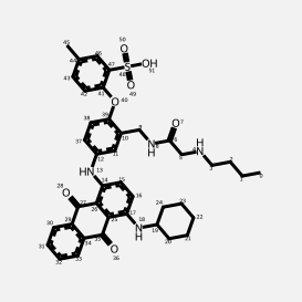 CCCCNCC(=O)NCc1cc(Nc2ccc(NC3CCCCC3)c3c2C(=O)c2ccccc2C3=O)ccc1Oc1ccc(C)cc1S(=O)(=O)O